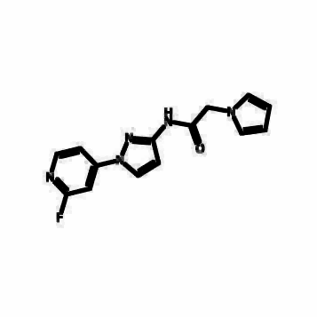 O=C(Cn1cccc1)Nc1ccn(-c2ccnc(F)c2)n1